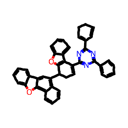 C1=CC(c2nc(C3=CCC(c4cc5c6ccccc6oc5c5ccccc45)c4oc5ccccc5c43)nc(-c3ccccc3)n2)=CCC1